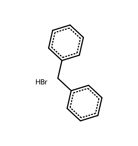 Br.c1ccc(Cc2ccccc2)cc1